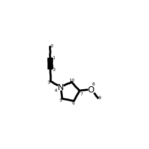 CC#CCN1CCC(OC)C1